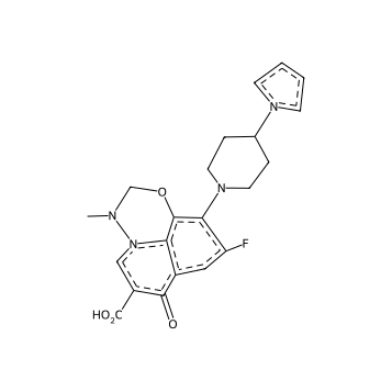 CN1COc2c(N3CCC(n4cccc4)CC3)c(F)cc3c(=O)c(C(=O)O)cn1c23